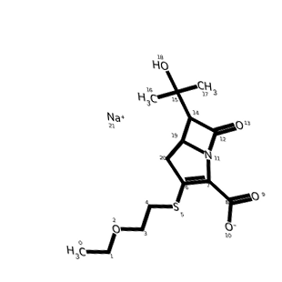 CCOCCSC1=C(C(=O)[O-])N2C(=O)C(C(C)(C)O)C2C1.[Na+]